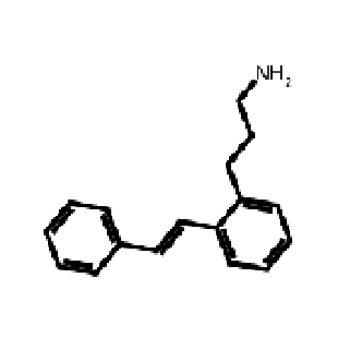 NCCCc1ccccc1C=Cc1ccccc1